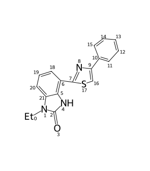 CCn1c(=O)[nH]c2c(-c3nc(-c4ccccc4)cs3)cccc21